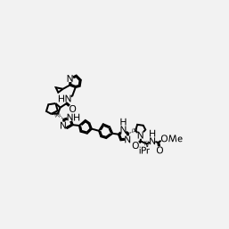 COC(=O)N[C@H](C(=O)N1CCC[C@H]1c1ncc(-c2ccc(-c3ccc(-c4cnc([C@@H]5C6CCC(C6)C5C(=O)NCc5cccnc5C5CC5)[nH]4)cc3)cc2)[nH]1)C(C)C